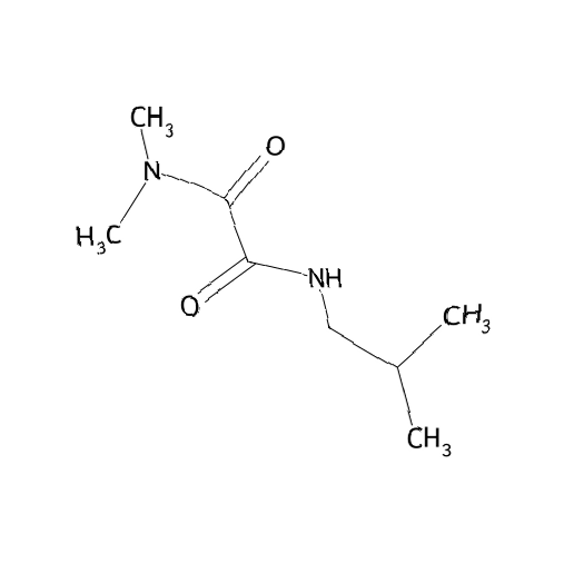 CC(C)CNC(=O)C(=O)N(C)C